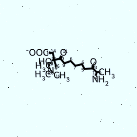 CC(N)C(=O)CCCCCC(=O)C(O)(CC(=O)[O-])C[N+](C)(C)C